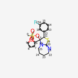 CS(=O)(=O)OC1(c2ccco2)C(c2cccc(F)c2)SC2=NCCCCN21